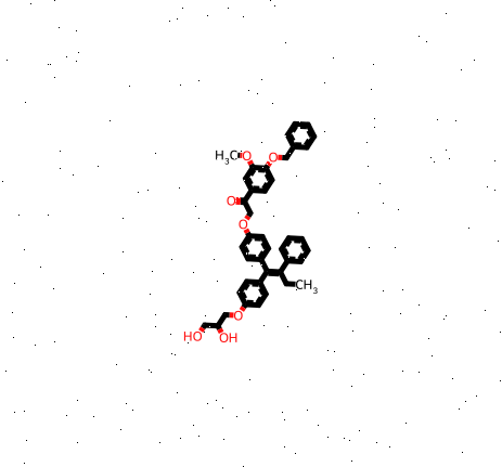 CCC(=C(c1ccc(OCC(=O)c2ccc(OCc3ccccc3)c(OC)c2)cc1)c1ccc(OCC(O)CO)cc1)c1ccccc1